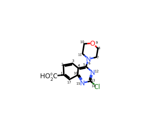 O=C(O)c1ccc2c(N3CCOCC3)nc(Cl)nc2c1